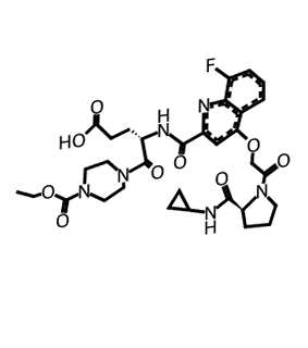 CCOC(=O)N1CCN(C(=O)[C@H](CCC(=O)O)NC(=O)c2cc(OCC(=O)N3CCC[C@H]3C(=O)NC3CC3)c3cccc(F)c3n2)CC1